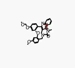 COCOc1ccc(-c2nnn(C)c2CN(Cc2ccc(OC)cc2OC)C(=O)N(C)Cc2ccccc2)cc1